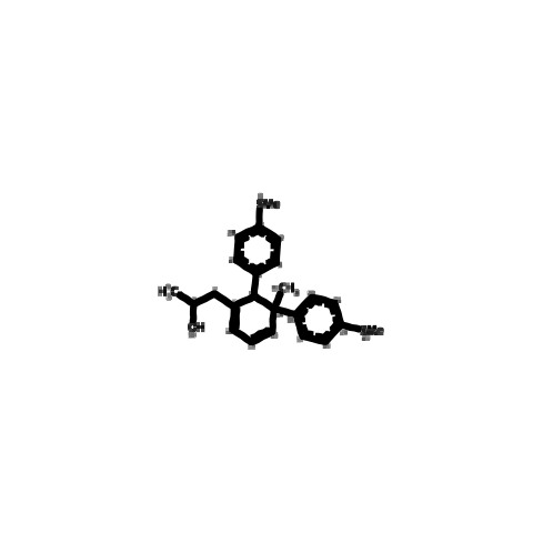 CSc1ccc(C2C(CC(C)O)=CC=CC2(C)c2ccc(SC)cc2)cc1